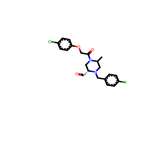 CC1CN(Cc2ccc(F)cc2)[C@H](C=O)CN1C(=O)COc1ccc(Cl)cc1